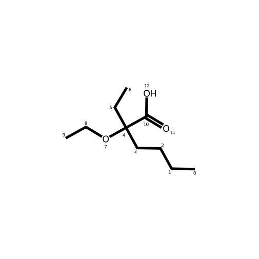 CCCCC(CC)(OCC)C(=O)O